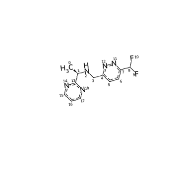 C[C@@H](NCc1ccc(C(F)F)nn1)c1ncccn1